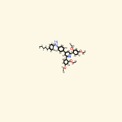 CCCCCc1ccc(Nc2ccc(-c3cc(-c4ccc(OCC)cc4OCC)nc(-c4ccc(OCC)cc4OCC)c3)cc2)cc1